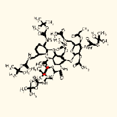 CC(=O)OCC1O[C@H](O[C@@H]2C(OS(C)(=O)=O)C(O[C@H]3OC(CNC(=O)OC(C)(C)C)CCC3NC(=O)OC(C)(C)C)[C@H](NC(=O)OC(C)(C)C)C[C@H]2NC(=O)[C@H](CCNC(=O)OC(C)(C)C)OC(C)=O)C(OC(C)=O)[C@@H](NC(=O)OC(C)(C)C)[C@@H]1OC(C)=O